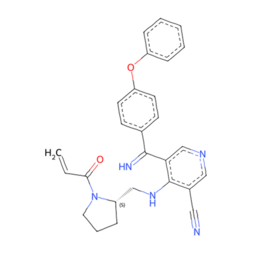 C=CC(=O)N1CCC[C@H]1CNc1c(C#N)cncc1C(=N)c1ccc(Oc2ccccc2)cc1